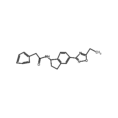 CCc1nc(-c2ccc3c(c2)CCC3NC(=O)Cc2ccccc2)no1